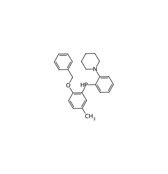 Cc1ccc(OCc2ccccc2)c(Pc2ccccc2N2CCCCC2)c1